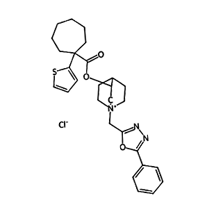 O=C(OC1C[N+]2(Cc3nnc(-c4ccccc4)o3)CCC1CC2)C1(c2cccs2)CCCCCC1.[Cl-]